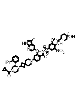 CC(C)c1ccccc1[C@H]1CN(C(=O)C2CC2)CCN1C1CC2(CCN(c3ccc(C(=O)NS(=O)(=O)c4cc5c(c([N+](=O)[O-])c4)N[C@@H]([C@H]4CC[C@](C)(O)CC4)CO5)c(Oc4cnc5[nH]cc(F)c5c4)c3)CC2)C1